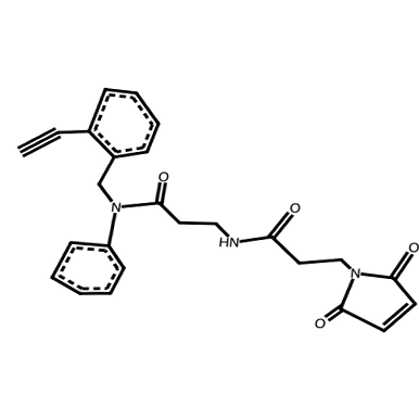 C#Cc1ccccc1CN(C(=O)CCNC(=O)CCN1C(=O)C=CC1=O)c1ccccc1